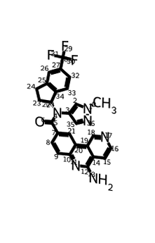 Cn1cc(N(C(=O)c2ccc3nc(N)c4ccncc4c3c2)[C@@H]2CCc3cc(C(F)(F)F)ccc32)cn1